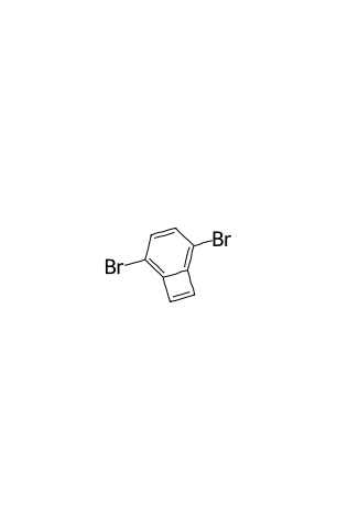 Brc1ccc(Br)c2c1C=C2